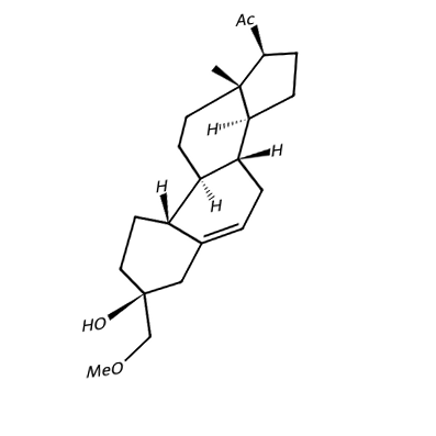 COC[C@]1(O)CC[C@H]2C(=CC[C@@H]3[C@@H]2CC[C@]2(C)[C@@H](C(C)=O)CC[C@@H]32)C1